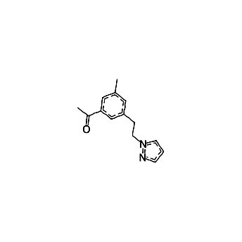 CC(=O)c1cc(C)cc(CCn2cccn2)c1